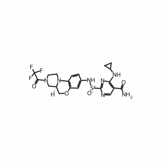 NC(=O)c1cnc([S+]([O-])Nc2ccc3c(c2)OC[C@H]2CN(C(=O)C(F)(F)F)CCN32)nc1NC1CC1